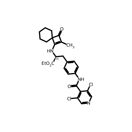 CCOC(=O)[C@H](Cc1ccc(NC(=O)c2c(Cl)cncc2Cl)cc1)NC1=C(C)C(=O)C12CCCCC2